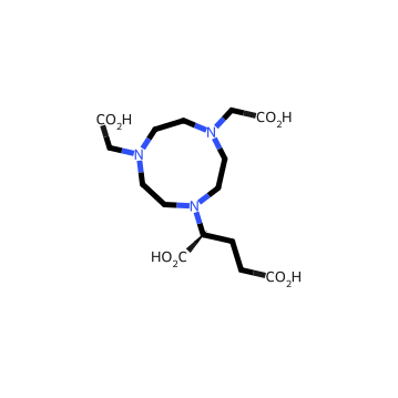 O=C(O)CC[C@@H](C(=O)O)N1CCN(CC(=O)O)CCN(CC(=O)O)CC1